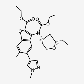 CCOC(=O)c1oc2cc(C)c(-c3cnn(C)c3)cc2c1N(C(=O)OCC)[C@H]1CCO[C@@H](CC)C1